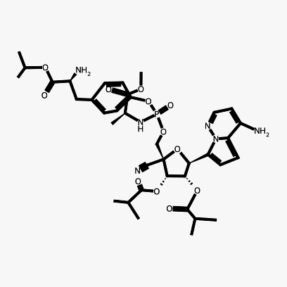 COC(=O)[C@H](C)NP(=O)(OC[C@@]1(C#N)O[C@@H](c2ccc3c(N)ccnn23)[C@H](OC(=O)C(C)C)[C@@H]1OC(=O)C(C)C)Oc1ccc(C[C@H](N)C(=O)OC(C)C)cc1